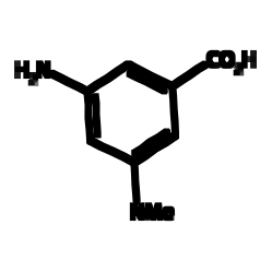 CNc1cc(N)cc(C(=O)O)c1